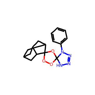 c1ccc(N2N=NNC23OOC2(O3)C3CC4CC(C3)C2C4)cc1